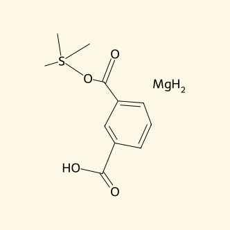 CS(C)(C)OC(=O)c1cccc(C(=O)O)c1.[MgH2]